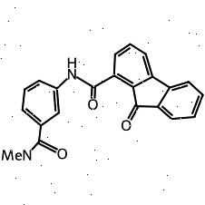 CNC(=O)c1cccc(NC(=O)c2cccc3c2C(=O)c2ccccc2-3)c1